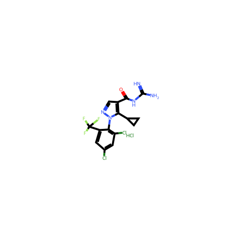 Cl.N=C(N)NC(=O)c1cnn(-c2c(Cl)cc(Cl)cc2C(F)(F)F)c1C1CC1